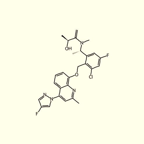 C=C([C@H](C)O)N(C)[C@@H](C)c1cc(F)cc(Cl)c1COc1cccc2c(-n3cc(F)cn3)cc(C)nc12